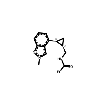 CCC(=O)NC[C@@H]1C[C@@H]1c1cccc2nn(C)cc12